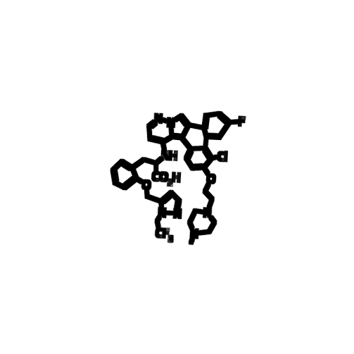 CN1CCN(CCOc2ccc3c(c2Cl)c2cc(F)ccc2c2cn4nccc(NC(Cc5ccccc5OCc5ccnn5CC(F)(F)F)C(=O)O)c4c23)CC1